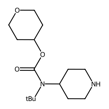 CC(C)(C)N(C(=O)OC1CCOCC1)C1CCNCC1